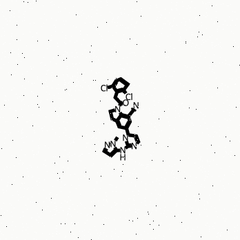 Cn1nccc1Nc1nccc(-c2cc(C#N)c3c(c2)CCN3C(=O)Cc2c(Cl)cccc2Cl)n1